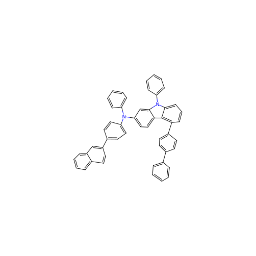 c1ccc(-c2ccc(-c3cccc4c3c3ccc(N(c5ccccc5)c5ccc(-c6ccc7ccccc7c6)cc5)cc3n4-c3ccccc3)cc2)cc1